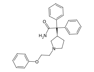 NC(=O)C(c1ccccc1)(c1ccccc1)[C@H]1CCN(CCOc2ccccc2)C1